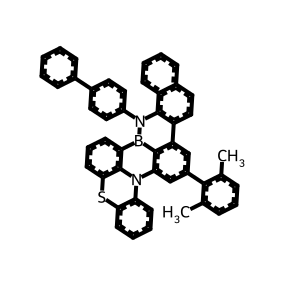 Cc1cccc(C)c1-c1cc2c3c(c1)N1c4ccccc4Sc4cccc(c41)B3N(c1ccc(-c3ccccc3)cc1)c1c-2ccc2ccccc12